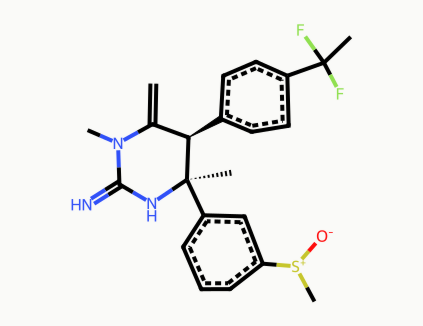 C=C1[C@@H](c2ccc(C(C)(F)F)cc2)[C@@](C)(c2cccc([S+](C)[O-])c2)NC(=N)N1C